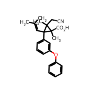 CC(C)=CC1(c2cccc(Oc3ccccc3)c2)C(C)(CC#N)C1(C)C(=O)O